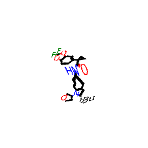 CC(C)(C)c1cc2cc(NC(=O)C3(c4ccc5c(c4)OC(F)(F)O5)CC3)ccc2n1C1CCOC1